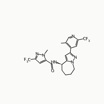 Cc1cnc(C(F)(F)F)cc1-c1cc2n(n1)CCCC[C@H]2NC(=O)c1cc(C(F)(F)F)nn1C